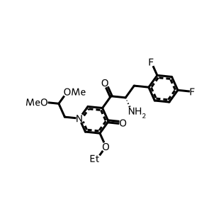 CCOc1cn(CC(OC)OC)cc(C(=O)[C@@H](N)Cc2ccc(F)cc2F)c1=O